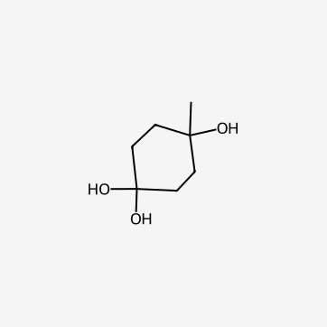 CC1(O)CCC(O)(O)CC1